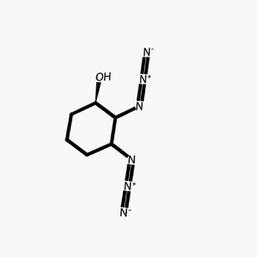 [N-]=[N+]=NC1CCC[C@@H](O)C1N=[N+]=[N-]